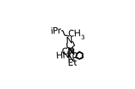 CCN1c2ccccc2N(C2CCN(C(C)CCC(C)C)CC2)C1NC#N